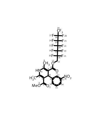 COC(=O)C1=C(C)NC(C)=C(C(=O)OCC(F)(F)C(F)(F)C(F)(F)C(F)(F)C(F)(F)C(F)(F)F)C1c1cccc([N+](=O)[O-])c1